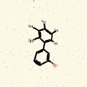 [2H]c1c([2H])c([2H])c(-c2cccc(Br)c2)c([2H])c1[2H]